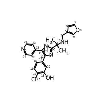 CC(C)(NCc1ccoc1)c1nc(-c2ccc(Cl)c(O)c2)c(-c2ccncc2)[nH]1